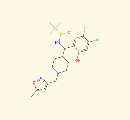 Cc1cc(CN2CCC(C(N[S+]([O-])C(C)(C)C)c3cc(Cl)c(Cl)cc3O)CC2)no1